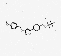 COc1ccc(COc2cc(C3CCC(CO[Si](C)(C)C(C)(C)C)CC3)on2)cc1